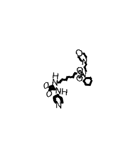 O=c1c(NCCCCCCS(=O)(=O)N(CCCN2CCOCC2)C2CCCCC2)c(Nc2ccncc2)c1=O